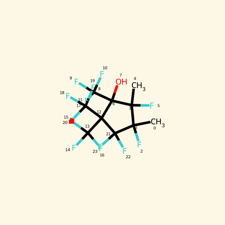 CC1(F)C(C)(F)C(O)(C(F)(F)F)C(C(F)(F)F)(C(F)(F)F)C1(F)F